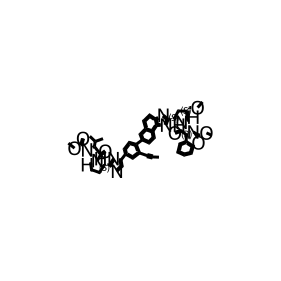 CC#Cc1cc(-c2cnc([C@@H]3CCCN3C(=O)C(NC(=O)OC)C(C)C)[nH]2)ccc1-c1ccc2c(ccc3nc([C@@H]4C[C@H](COC)CN4C(=O)[C@H](NC(=O)OC)c4ccccc4)[nH]c32)c1